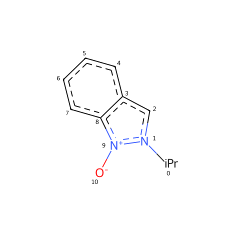 CC(C)n1cc2ccccc2[n+]1[O-]